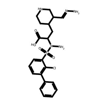 NN=CC1CNCCC1CC(C(=O)O)N(N)S(=O)(=O)c1cccc(-c2ccccc2)c1Cl